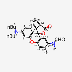 CCCCN(CCCC)c1ccc2c(c1)Oc1cc(C)c(N(C)C=O)cc1C21OC(=O)c2ccccc21